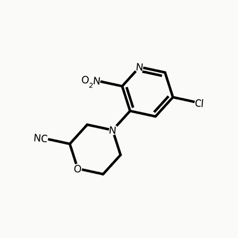 N#CC1CN(c2cc(Cl)cnc2[N+](=O)[O-])CCO1